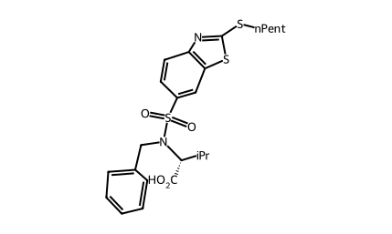 CCCCCSc1nc2ccc(S(=O)(=O)N(Cc3ccccc3)[C@@H](C(=O)O)C(C)C)cc2s1